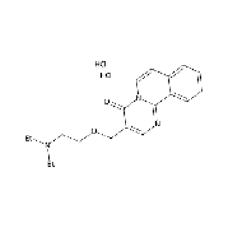 CCN(CC)CCOCc1cnc2c3ccccc3ccn2c1=O.Cl.Cl